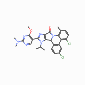 COc1nc(N(C)C)ncc1-c1nc2c(n1C(C)C)C1c3ccc(Cl)cc3-c3c(Cl)ccc(C)c3N1C2=O